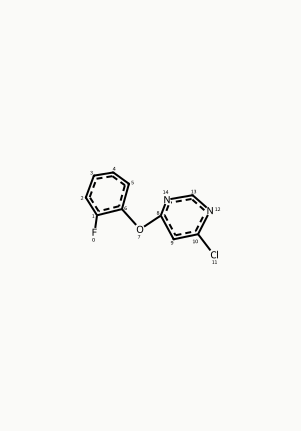 Fc1ccccc1Oc1cc(Cl)ncn1